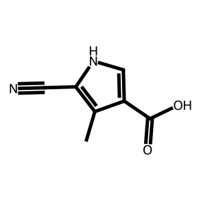 Cc1c(C(=O)O)c[nH]c1C#N